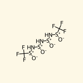 [O-][S+](N[S+]([O-])N[S+]([O-])C(F)(F)F)N[S+]([O-])C(F)(F)F